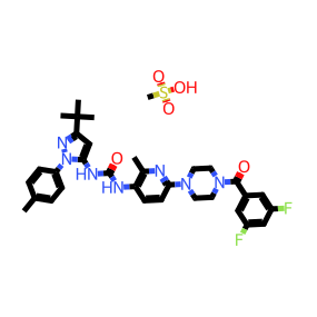 CS(=O)(=O)O.Cc1ccc(-n2nc(C(C)(C)C)cc2NC(=O)Nc2ccc(N3CCN(C(=O)c4cc(F)cc(F)c4)CC3)nc2C)cc1